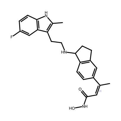 C/C(=C/C(=O)NO)c1ccc2c(c1)CCC2NCCc1c(C)[nH]c2ccc(F)cc12